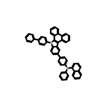 c1ccc(-c2ccc(-n3c4ccc(-c5ccc(N(c6ccccc6)c6cccc7ccccc67)cc5)cc4c4c5ccccc5c5ccccc5c43)cc2)cc1